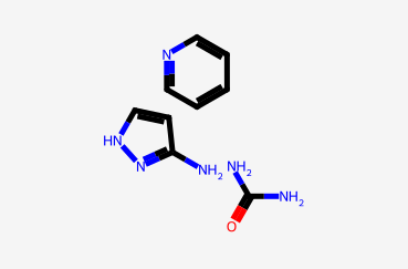 NC(N)=O.Nc1cc[nH]n1.c1ccncc1